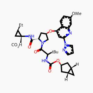 CC[C@@H]1C[C@]1(NC(=O)[C@@H]1C[C@@H](Oc2cc(-n3cccn3)nc3cc(OC)ccc23)CN1C(=O)C(NC(=O)O[C@H]1C[C@@H]2C[C@@H]2C1)C(C)(C)C)C(=O)O